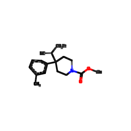 CCOC(=O)C(C#N)C1(c2cccc(C)c2)CCN(C(=O)OC(C)(C)C)CC1